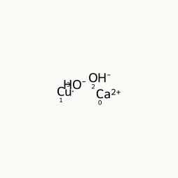 [Ca+2].[Cu].[OH-].[OH-]